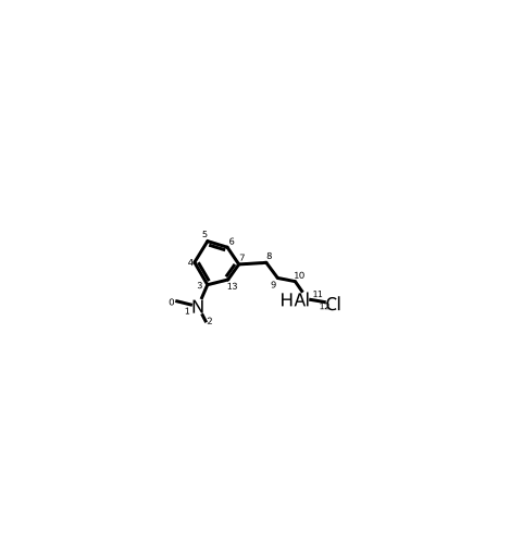 CN(C)c1cccc(CC[CH2][AlH][Cl])c1